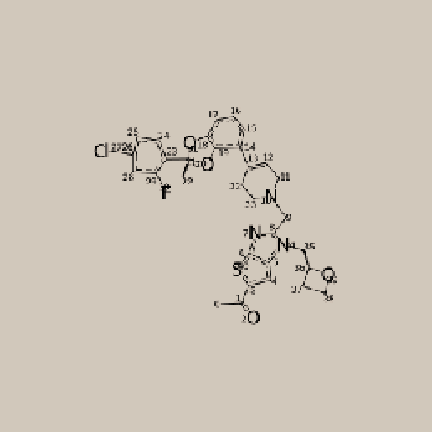 CC(=O)c1cc2c(nc(CN3CC=C(c4cccc5c4O[C@](C)(c4ccc(Cl)cc4F)O5)CC3)n2C[C@@H]2CCO2)s1